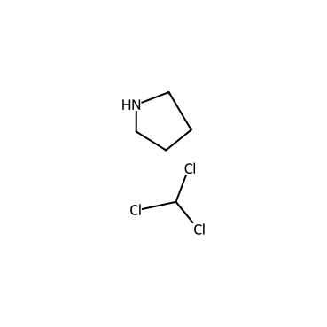 C1CCNC1.ClC(Cl)Cl